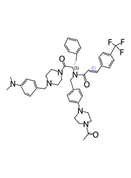 CC(=O)N1CCN(c2ccc(CN(C(=O)/C=C/c3ccc(C(F)(F)F)cc3)[C@@H](Cc3ccccc3)C(=O)N3CCN(Cc4ccc(N(C)C)cc4)CC3)cc2)CC1